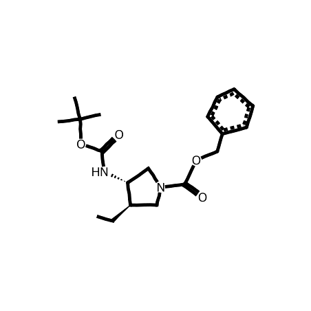 CC[C@@H]1CN(C(=O)OCc2ccccc2)C[C@H]1NC(=O)OC(C)(C)C